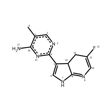 Cc1cnc(C2=CNC3=NC=C(F)CC23)nc1N